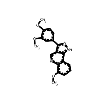 COc1ccc(-c2n[nH]c3c2cnc2c(OC)cccc23)cc1OC